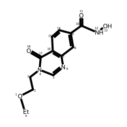 CCOCCn1cnc2cc(C(=O)NO)ccc2c1=O